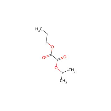 CCCOC(=O)C(=O)OC(C)C